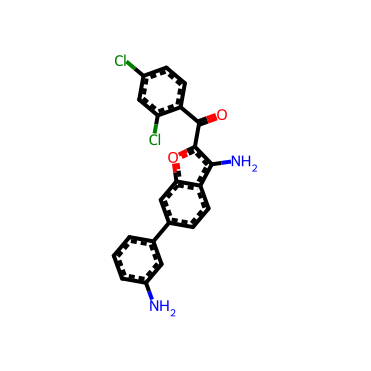 Nc1cccc(-c2ccc3c(N)c(C(=O)c4ccc(Cl)cc4Cl)oc3c2)c1